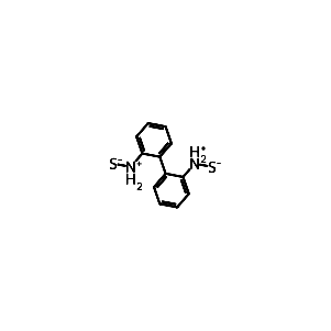 [S-][NH2+]c1ccccc1-c1ccccc1[NH2+][S-]